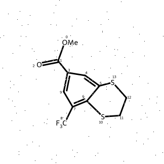 COC(=O)c1cc2c(c(C(F)(F)F)c1)SCCS2